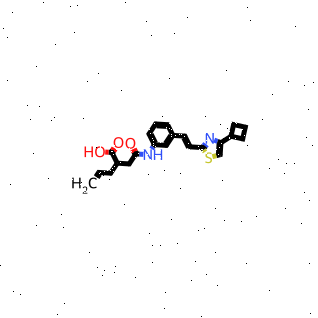 C=CCC(CC(=O)Nc1cccc(C=Cc2nc(C3CCC3)cs2)c1)C(=O)O